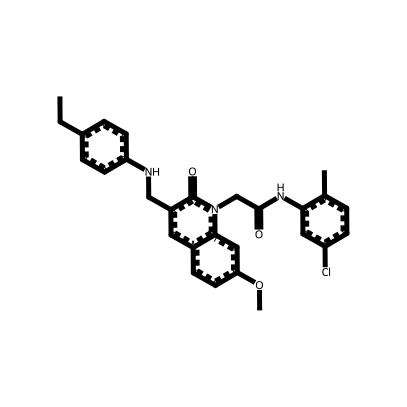 CCc1ccc(NCc2cc3ccc(OC)cc3n(CC(=O)Nc3cc(Cl)ccc3C)c2=O)cc1